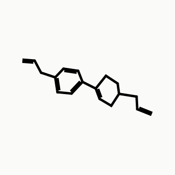 C=CCc1ccc(C2=CCC(CC=C)CC2)cc1